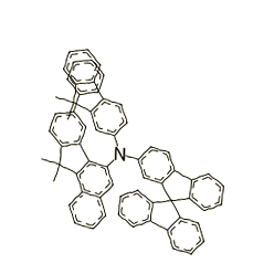 CC1(C)c2ccccc2-c2ccc(N(c3ccc4c(c3)C3(c5ccccc5-c5ccccc53)c3ccccc3-4)c3cc4ccccc4c4c3-c3cc(-c5ccccc5)ccc3C4(C)C)cc21